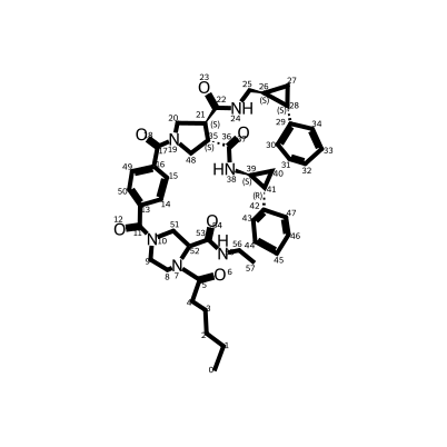 CCCCCC(=O)N1CCN(C(=O)c2ccc(C(=O)N3C[C@@H](C(=O)NC[C@H]4C[C@@H]4c4ccccc4)[C@H](C(=O)N[C@H]4C[C@@H]4c4ccccc4)C3)cc2)CC1C(=O)NCC